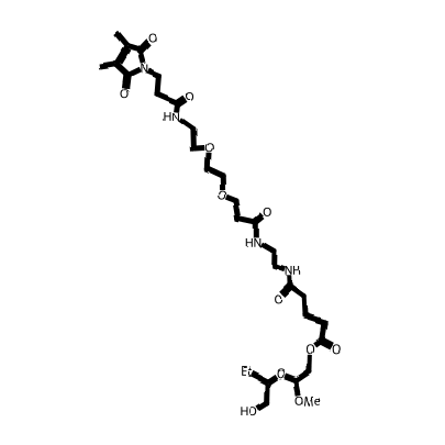 CCC(CO)OC(COC(=O)CCCC(=O)NCCNC(=O)CCOCCOCCNC(=O)CCN1C(=O)C(C)=C(C)C1=O)OC